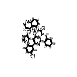 O=C(Nc1cccc2ncccc12)[C@H](Cc1ccccc1)n1cnc(-c2cc(Cl)ccc2-n2cc(Cl)nn2)cc1=O